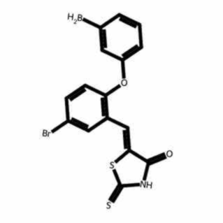 Bc1cccc(Oc2ccc(Br)cc2/C=C2\SC(=S)NC2=O)c1